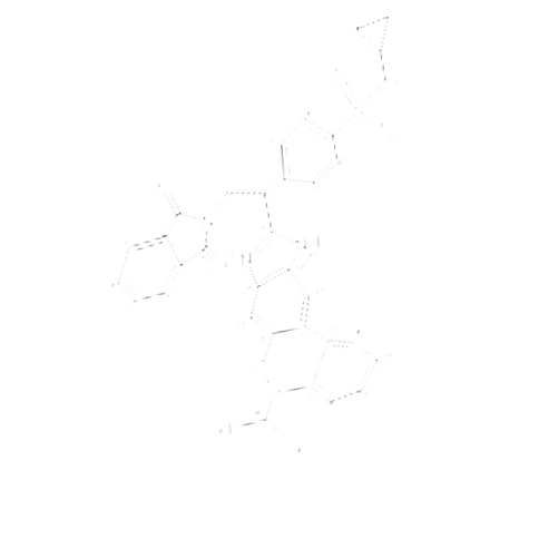 O=C1c2ccccc2C(=O)N1CC(c1ccc(S(=O)(=O)CC2CC2)cc1)c1nc2cc(Cl)c(-c3ccccc3OC(F)F)cc2[nH]1